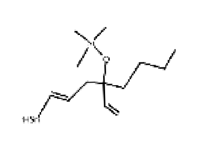 C=CC(CC=[CH][SnH])(CCCC)O[Si](C)(C)C